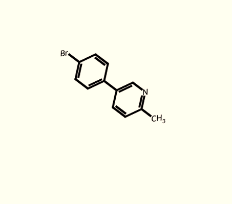 Cc1ccc(-c2ccc(Br)cc2)cn1